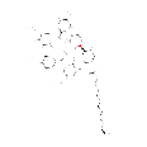 CCCCCC/C=C\CCCCCCCCCC(=O)NC1[C@H](O[C@@H]2C(CO)O[C@@H](O[C@@H]3C(CO)O[C@@H](O[C@@H]4C(CO)O[C@@H](O[C@@H]5C(CO[C@@H]6OC(C)[C@@H](O)[C@@H](O)C6OC)O[C@@H](O)[C@@H](NC(C)=O)C5O)[C@@H](NC(C)=O)C4O)C(NC(C)=O)[C@H]3O)C(NC(C)=O)[C@H]2O)OC(CO)[C@@H](O)[C@@H]1O